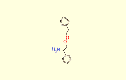 N[C@H](COOCCc1ccccc1)c1ccccc1